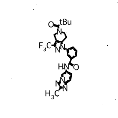 Cc1nc2ccc(NC(=O)c3cccc(-n4nc(C(F)(F)F)c5c4CCN(C(=O)C(C)(C)C)C5)c3)cn2n1